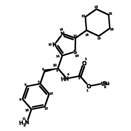 CC(C)(C)OC(=O)N[C@@H](Cc1ccc(N)cc1)c1nnc(C2CCCCC2)s1